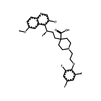 COc1ccc2ncc(Cl)c([C@H](F)CCC3(C(=O)O)CCN(CCOc4c(F)cc(F)cc4F)CC3)c2c1